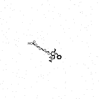 C=CC1=C(N(C)OC(=C)C)[C@H](OCCOCCOCCOCC(=O)O)C/C(=C\C)N1Cc1ccccc1